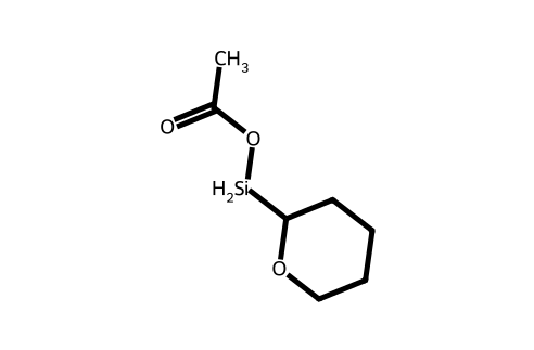 CC(=O)O[SiH2]C1CCCCO1